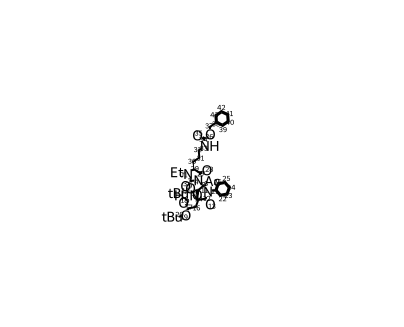 CCN1C(=O)N([C@](C(C)=O)(C(=O)OC(C)(C)C)N(C(=O)[C@@H](N)CC(=O)OC(C)(C)C)c2ccccc2)C(=O)[C@@H]1CCCNC(=O)OCc1ccccc1